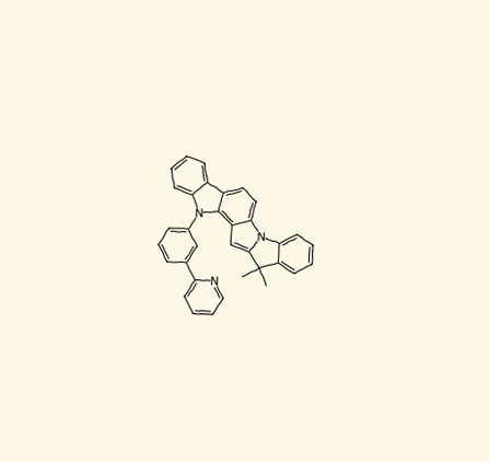 CC1(C)c2ccccc2-n2c1cc1c2ccc2c3ccccc3n(-c3cccc(-c4ccccn4)c3)c21